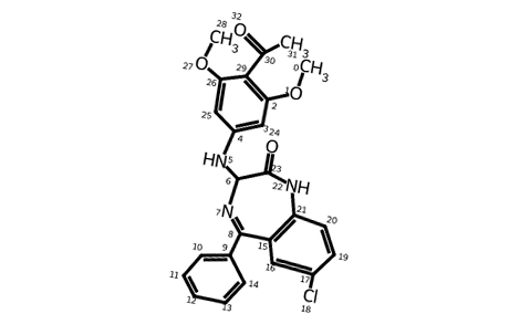 COc1cc(NC2N=C(c3ccccc3)c3cc(Cl)ccc3NC2=O)cc(OC)c1C(C)=O